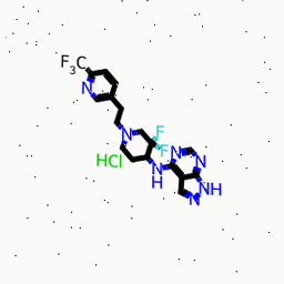 Cl.FC(F)(F)c1ccc(CCN2CCC(Nc3ncnc4[nH]ncc34)C(F)(F)C2)cn1